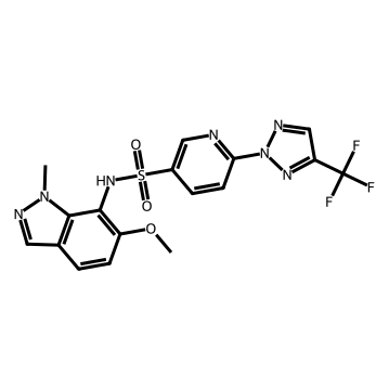 COc1ccc2cnn(C)c2c1NS(=O)(=O)c1ccc(-n2ncc(C(F)(F)F)n2)nc1